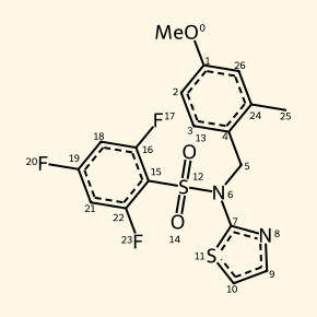 COc1ccc(CN(c2nccs2)S(=O)(=O)c2c(F)cc(F)cc2F)c(C)c1